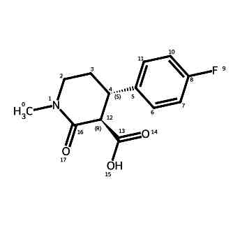 CN1CC[C@H](c2ccc(F)cc2)[C@@H](C(=O)O)C1=O